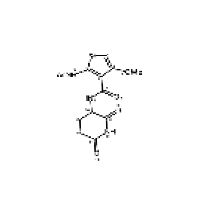 COc1csc(NC(C)=O)c1C(=O)NC1CCC(=O)NC1=O